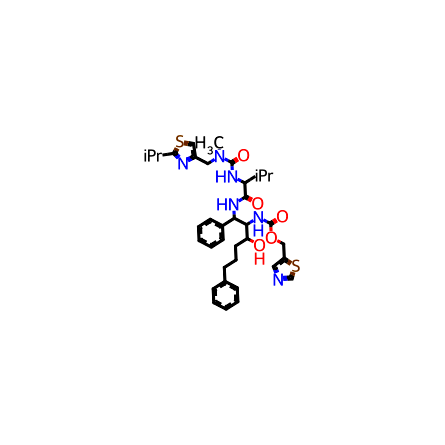 CC(C)c1nc(CN(C)C(=O)NC(C(=O)NC(c2ccccc2)C(NC(=O)OCc2cncs2)C(O)CCCc2ccccc2)C(C)C)cs1